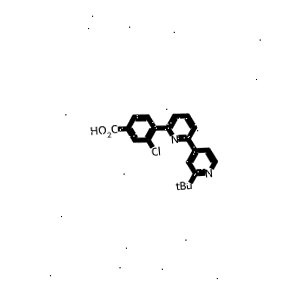 CC(C)(C)c1cc(-c2cccc(-c3ccc(C(=O)O)cc3Cl)n2)ccn1